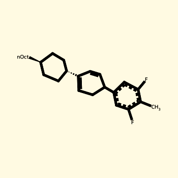 CCCCCCCC[C@H]1CC[C@H](C2=CCC(c3cc(F)c(C)c(F)c3)C=C2)CC1